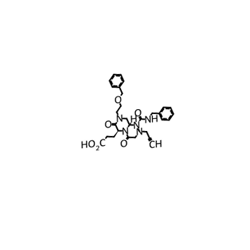 C#CCN1CC(=O)N2[C@@H](CCC(=O)O)C(=O)N(CCOCc3ccccc3)C[C@@H]2N1C(=O)NCc1ccccc1